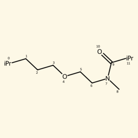 CC(C)CCCOCCN(C)C(=O)C(C)C